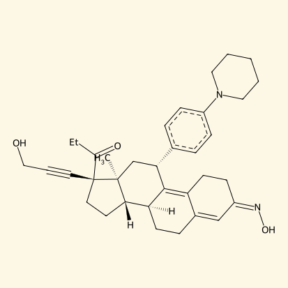 CCC(=O)[C@@]1(C#CCO)CC[C@H]2[C@@H]3CCC4=CC(=NO)CCC4=C3[C@@H](c3ccc(N4CCCCC4)cc3)C[C@@]21C